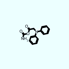 NC(=O)OC(=O)CN(c1ccccc1)c1ccccc1